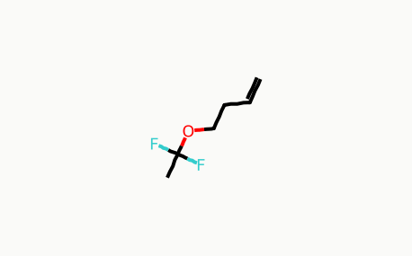 C=CCCOC(C)(F)F